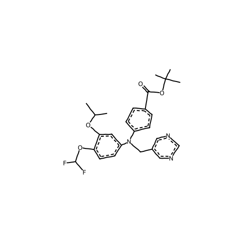 CC(C)Oc1cc(N(Cc2cncnc2)c2ccc(C(=O)OC(C)(C)C)cc2)ccc1OC(F)F